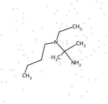 CCCCN(CC)C(C)(C)N